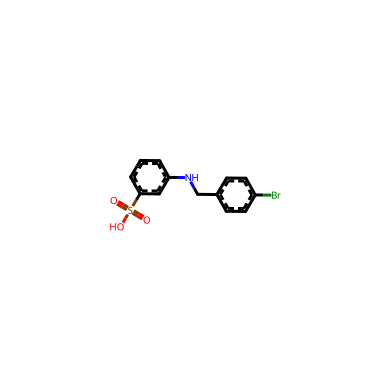 O=S(=O)(O)c1cccc(NCc2ccc(Br)cc2)c1